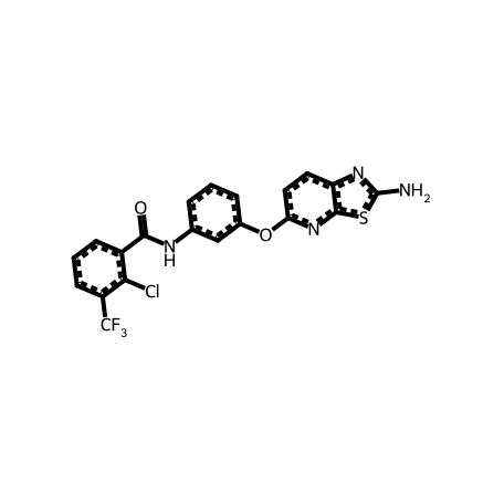 Nc1nc2ccc(Oc3cccc(NC(=O)c4cccc(C(F)(F)F)c4Cl)c3)nc2s1